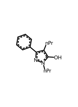 CCCc1c(-c2ccccc2)nn(CCC)c1O